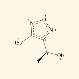 C[C@H](O)c1nonc1C(C)(C)C